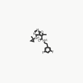 Cc1oc2ncnc(NC3(C)CC3)c2c1C(=O)NCCc1cc(F)cc(F)c1